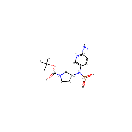 CC(C)(C)OC(=O)N1CCC(N(c2ccc(N)nc2)[SH](=O)=O)C1